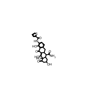 NC(=O)C1C2Cc3ccc(NC(=O)c4cccs4)c(O)c3C(=O)C2=C(O)C2(O)C(=O)CC(O)CC12